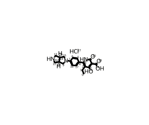 CCc1c(-c2ccc(N3C[C@H]4CNC[C@H]4C3)cc2)[nH]c(=O)c(C(=O)O)c1O.Cl